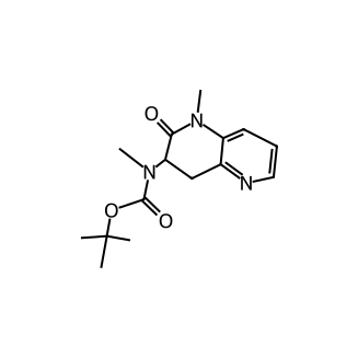 CN1C(=O)C(N(C)C(=O)OC(C)(C)C)Cc2ncccc21